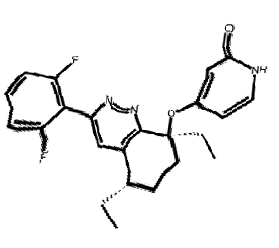 CC[C@H]1CC[C@](CC)(Oc2cc[nH]c(=O)c2)c2nnc(-c3c(F)cccc3F)cc21